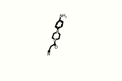 N#CCC(=O)N1CCN(c2ccc(N)cc2)CC1